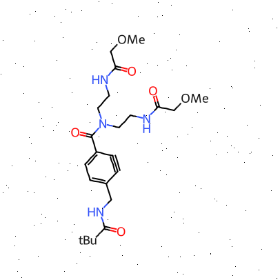 COCC(=O)NCCN(CCNC(=O)COC)C(=O)c1c#cc(CNC(=O)C(C)(C)C)cc1